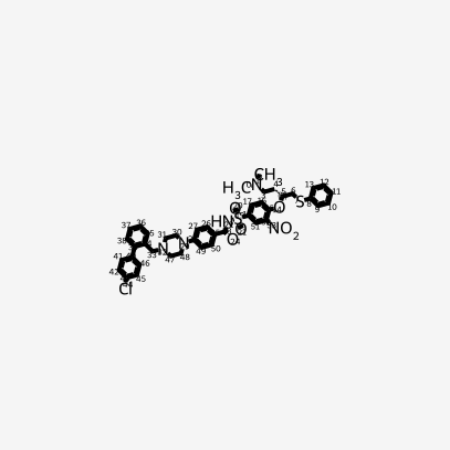 CN(C)CC[C@H](CSc1ccccc1)Oc1ccc(S(=O)(=O)NC(=O)c2ccc(N3CCN(Cc4ccccc4-c4ccc(Cl)cc4)CC3)cc2)cc1[N+](=O)[O-]